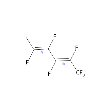 C/C(F)=C(F)/C(F)=C(\F)C(F)(F)F